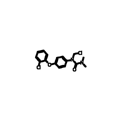 CN(C)C(=O)N(CCl)c1ccc(Oc2ccccc2Cl)cc1